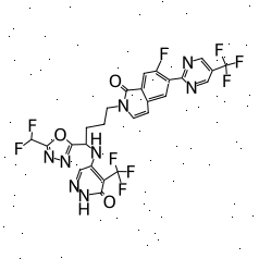 O=c1[nH]ncc(NC(CCCn2ccc3cc(-c4ncc(C(F)(F)F)cn4)c(F)cc3c2=O)c2nnc(C(F)F)o2)c1C(F)(F)F